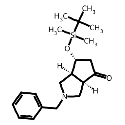 CC(C)(C)[Si](C)(C)O[C@@H]1CC(=O)[C@H]2CN(Cc3ccccc3)C[C@H]21